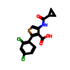 O=C(O)c1c(NC(=O)C2CC2)csc1-c1ccc(Cl)cc1Cl